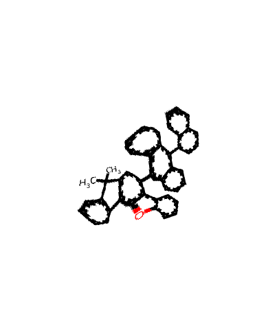 CC1(C)c2ccccc2-c2c1cc(-c1c3ccccc3c(-c3cccc4ccccc34)c3ccccc13)c1c2oc2ccccc21